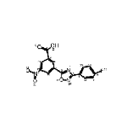 O=C(O)c1cc(-c2nc(-c3ccc(F)cc3)no2)cc([N+](=O)[O-])c1